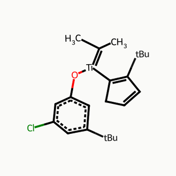 C[C](C)=[Ti]([O]c1cc(Cl)cc(C(C)(C)C)c1)[C]1=C(C(C)(C)C)C=CC1